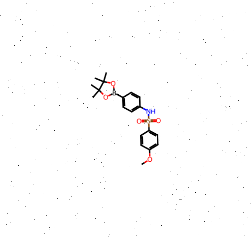 COc1ccc(S(=O)(=O)Nc2ccc(B3OC(C)(C)C(C)(C)O3)cc2)cc1